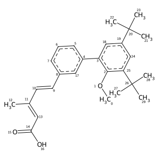 COc1c(-c2cccc(C=CC(C)=CC(=O)O)c2)cc(C(C)(C)C)cc1C(C)(C)C